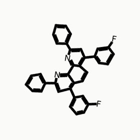 Fc1cccc(-c2cc(-c3ccccc3)nc3c2ccc2c(-c4cccc(F)c4)cc(-c4ccccc4)nc23)c1